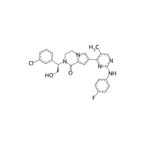 Cc1cnc(Nc2ccc(F)cc2)nc1-c1cc2n(c1)CCN([C@@H](CO)c1cccc(Cl)c1)C2=O